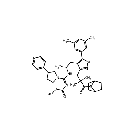 Cc1cc(C)cc(-c2[nH]nc(CC(C)(C)C(=O)N3C4CCC3CC4)c2CC(C)NC(=NC(=O)OC(C)C)N2CCC(c3ccncc3)C2)c1